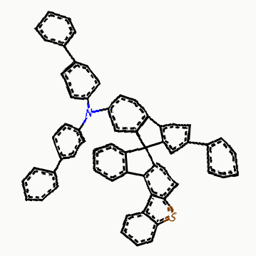 c1ccc(-c2ccc(N(c3ccc(-c4ccccc4)cc3)c3ccc4c(c3)C3(c5cc(-c6ccccc6)ccc5-4)c4ccccc4-c4c3ccc3sc5ccccc5c43)cc2)cc1